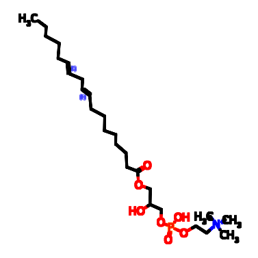 CCCCC/C=C/C/C=C/CCCCCCCC(=O)OCC(O)COP(=O)(O)OCC[N+](C)(C)C